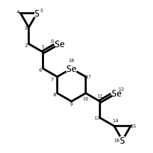 [Se]=C(CC1CS1)CC1CCC(C(=[Se])CC2CS2)C[Se]1